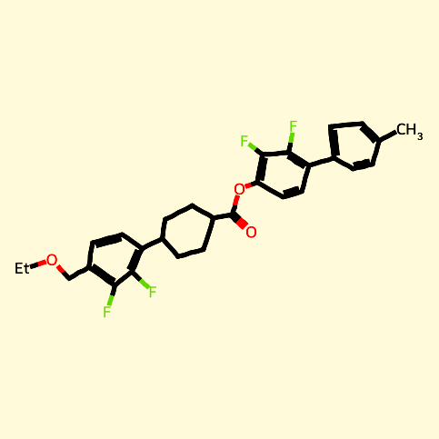 CCOCc1ccc(C2CCC(C(=O)Oc3ccc(-c4ccc(C)cc4)c(F)c3F)CC2)c(F)c1F